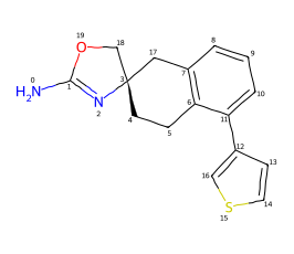 NC1=N[C@]2(CCc3c(cccc3-c3ccsc3)C2)CO1